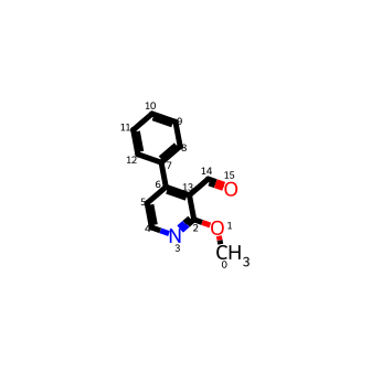 COc1nccc(-c2ccccc2)c1C=O